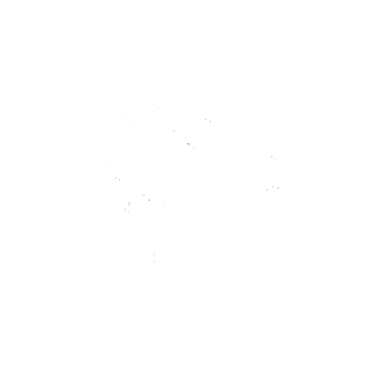 CNc1ccc(CN2CCN3C(=O)c4cccc(c4)S(=O)(=O)Nc4nc(cc(-c5c(C)cccc5C)n4)OC[C@H]3C2)cn1